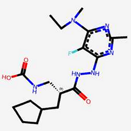 CCN(C)c1nc(C)nc(NNC(=O)[C@@H](CNC(=O)O)CC2CCCC2)c1F